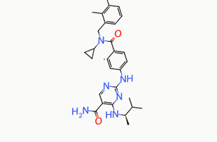 Cc1cccc(CN(C(=O)c2[c]cc(Nc3ncc(C(N)=O)c(N[C@H](C)C(C)C)n3)cc2)C2CC2)c1C